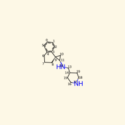 c1ccc2c(c1)CCC[C@]21C[C@H]1NCC1CCNCC1